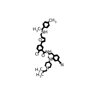 Cc1ccc([C@@H](C)NCc2ccc(-c3ccc(Cl)c(C(=O)N[C@@H](CNC4CCN(CC(C)C)CC4)Cc4ccc(C#N)cc4)c3)o2)cc1